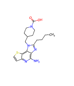 CCCCc1nc2c(N)nc3ccsc3c2n1CC1CCN(C(=O)O)CC1